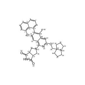 CCc1cccc2cccc(-c3ncc4c(N5CC6C(=O)NC(=O)C6C5)nc(OCC56CCCN5CCC6)nc4c3F)c12